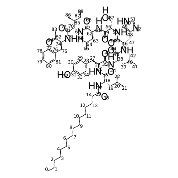 CCCCCCCCCCCCCCCC(=O)N[C@@H](CC(C)C)C(=O)N[C@@H](Cc1ccc(O)cc1)C(=O)N[C@@H](CC(C)C)C(=O)N[C@@H](Cc1c[nH]cn1)C(=O)N[C@@H](CO)C(=O)N[C@@H](CC(C)C)C(=O)N[C@H](C(=O)N[C@@H](Cc1ccccc1)C(C)=O)[C@@H](C)CC